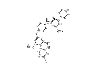 CCOc1cc(CN2CCC(Nc3nc(OC)nc(N4CCSCC4)n3)CC2)cc(OCC)c1-c1ccc(F)cc1